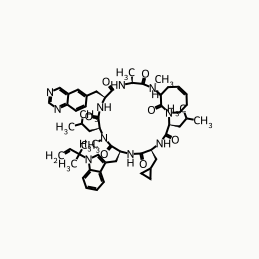 C=CC(C)(C)n1cc(C[C@@H]2NC(=O)[C@H](CC3CC3)NC(=O)[C@H](CC(C)C)N3CC/C=C\C[C@@H](C3=O)N(C)C(=O)[C@H](C)NC(=O)[C@H](Cc3ccc4ncncc4c3)NC(=O)[C@H](CC(C)C)N(C)C2=O)c2ccccc21